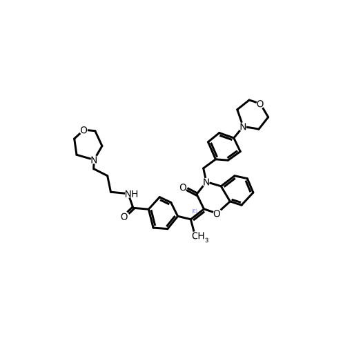 C/C(=C1\Oc2ccccc2N(Cc2ccc(N3CCOCC3)cc2)C1=O)c1ccc(C(=O)NCCCN2CCOCC2)cc1